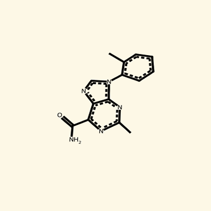 Cc1nc(C(N)=O)c2ncn(-c3ccccc3C)c2n1